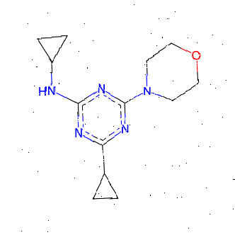 C1CN(c2nc(NC3CC3)nc(C3CC3)n2)CCO1